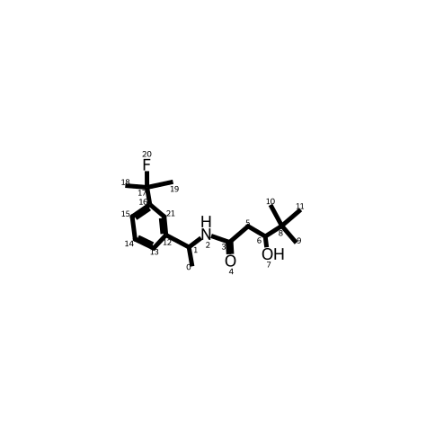 CC(NC(=O)CC(O)C(C)(C)C)c1cccc(C(C)(C)F)c1